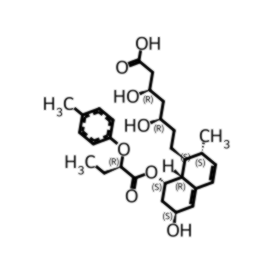 CC[C@@H](Oc1ccc(C)cc1)C(=O)O[C@H]1C[C@H](O)C=C2C=C[C@@H](C)[C@H](CC[C@@H](O)C[C@@H](O)CC(=O)O)[C@H]21